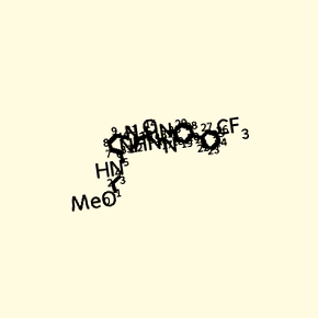 COCCCNCc1cccc2nc(C(=O)Nc3nc4cc(-c5cccc(C(F)(F)F)c5)ccc4[nH]3)cn12